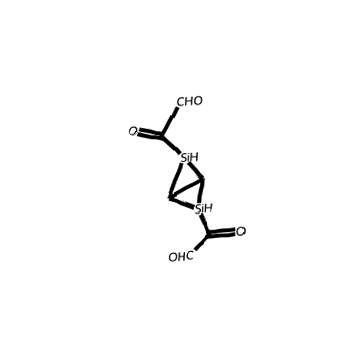 O=CC(=O)[SiH]1C2C1[SiH]2C(=O)C=O